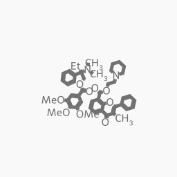 CCC(COC(=O)c1cc(OC)c(OC)c(OC)c1)(c1ccccc1)N(C)C.Cc1c(-c2ccccc2)oc2c(C(=O)OCCN3CCCCC3)cccc2c1=O